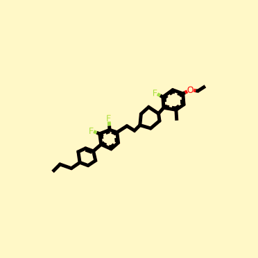 CCCC1CC=C(c2ccc(CCC3CCC(c4c(C)cc(OCC)cc4F)CC3)c(F)c2F)CC1